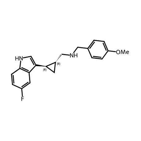 COc1ccc(CNC[C@@H]2C[C@H]2c2c[nH]c3ccc(F)cc23)cc1